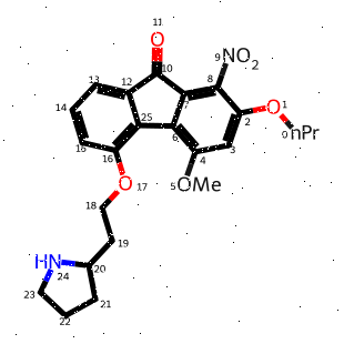 CCCOc1cc(OC)c2c(c1[N+](=O)[O-])C(=O)c1cccc(OCCC3CCCN3)c1-2